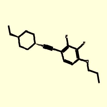 CCCOc1ccc(C#C[C@H]2CC[C@H](CC)CC2)c(F)c1F